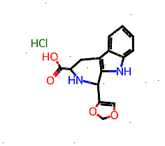 Cl.O=C(O)C1Cc2c([nH]c3ccccc23)C(C2=COCO2)N1